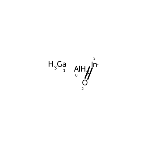 [AlH3].[GaH3].[O]=[In]